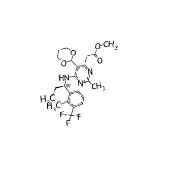 CC[C@@H](Nc1nc(C)nc(CC(=O)OC)c1C1OCCCO1)c1cccc(C(F)(F)F)c1C